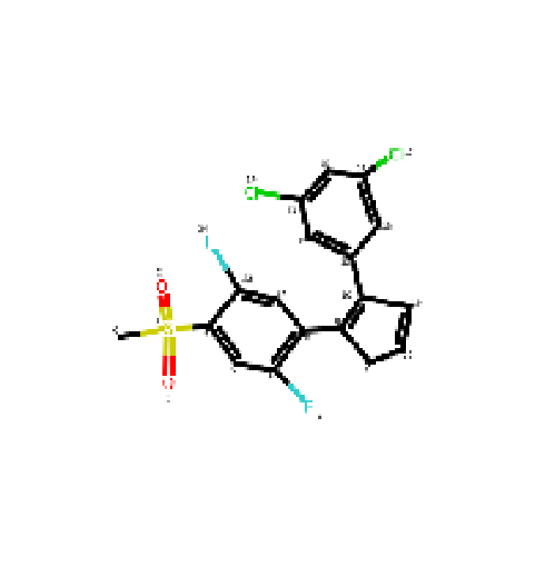 CS(=O)(=O)c1cc(F)c(C2=C(c3cc(Cl)cc(Cl)c3)C=CC2)cc1F